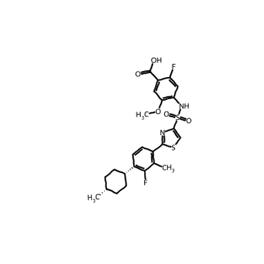 COc1cc(C(=O)O)c(F)cc1NS(=O)(=O)c1csc(-c2ccc([C@H]3CC[C@@H](C)CC3)c(F)c2C)n1